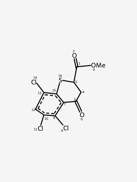 COC(=O)C1CC(=O)c2c(Cl)c(Cl)cc(Cl)c2S1